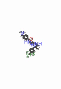 CC1=C(C)C(c2ccc(C(F)(F)F)c(F)c2)n2nc(NC(=O)c3ccc(CN(C)C)cc3)cc2N1